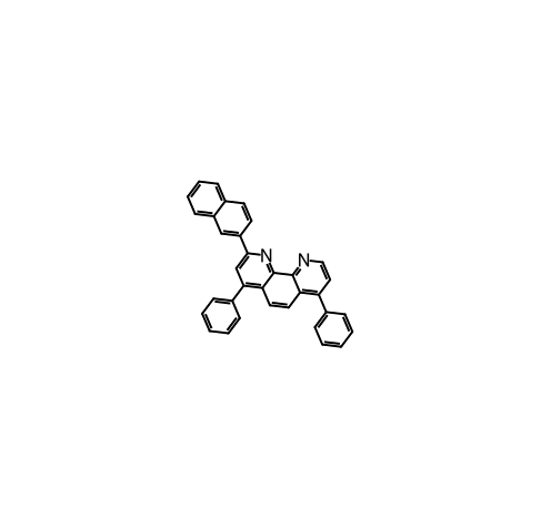 c1ccc(-c2ccnc3c2ccc2c(-c4ccccc4)cc(-c4ccc5ccccc5c4)nc23)cc1